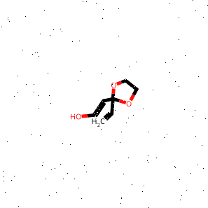 C=CC1(/C=C/O)OCCO1